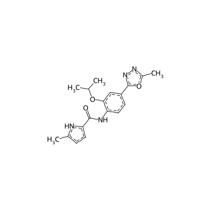 Cc1ccc(C(=O)Nc2ccc(-c3nnc(C)o3)cc2OC(C)C)[nH]1